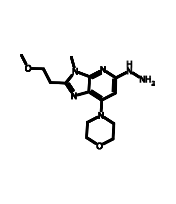 COCCc1nc2c(N3CCOCC3)cc(NN)nc2n1C